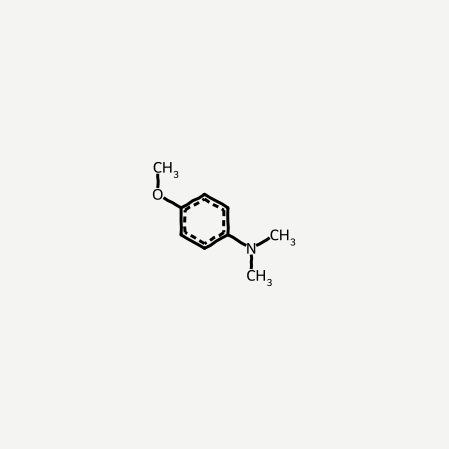 COc1ccc(N(C)C)cc1